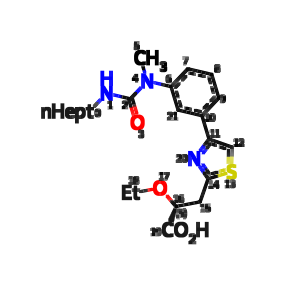 CCCCCCCNC(=O)N(C)c1cccc(-c2csc(C[C@H](OCC)C(=O)O)n2)c1